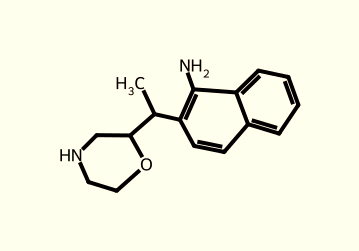 CC(c1ccc2ccccc2c1N)C1CNCCO1